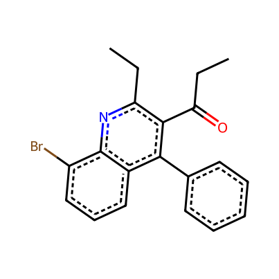 CCC(=O)c1c(CC)nc2c(Br)cccc2c1-c1ccccc1